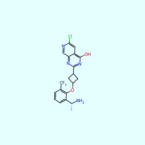 C[C@@H](N)c1cccc(C(F)(F)F)c1OC1CC(c2nc(O)c3cc(Cl)ncc3n2)C1